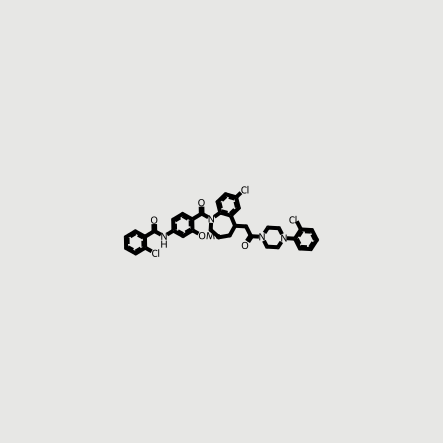 COc1cc(NC(=O)c2ccccc2Cl)ccc1C(=O)N1CCCC(CC(=O)N2CCN(c3ccccc3Cl)CC2)c2cc(Cl)ccc21